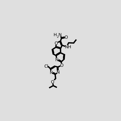 CCCNc1c(C(N)=O)oc2ccc3nc(Oc4cc(Cl)nc(COC(C)C)n4)ccc3c12